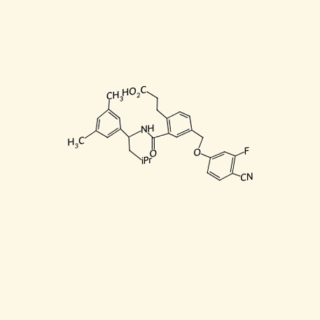 Cc1cc(C)cc(C(CC(C)C)NC(=O)c2cc(COc3ccc(C#N)c(F)c3)ccc2CCC(=O)O)c1